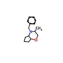 CC1COC2CCCC2N1Cc1ccccc1